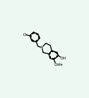 COc1cc2c(cc1O)CCN(Cc1cccc(Cl)c1)C2